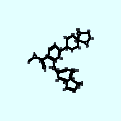 COC(=O)c1ccc(C2CCC3(CC2)OCCO3)cc1Oc1cnc2[nH]ccc2c1